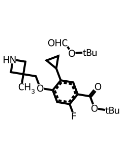 CC(C)(C)OC=O.CC1(COc2cc(F)c(C(=O)OC(C)(C)C)cc2C2CC2)CNC1